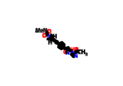 CNC(=O)C(=O)N1C[C@@H]2C(C#Cc3ccc(-c4cc(Cn5ccnc5[C@H](C)O)no4)cc3)[C@@H]2C1